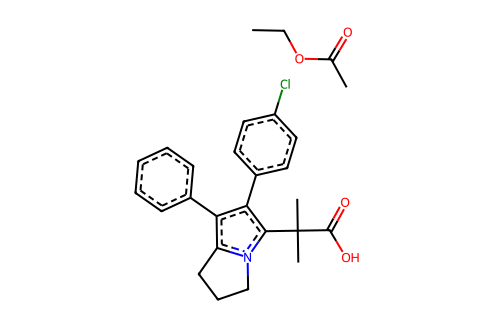 CC(C)(C(=O)O)c1c(-c2ccc(Cl)cc2)c(-c2ccccc2)c2n1CCC2.CCOC(C)=O